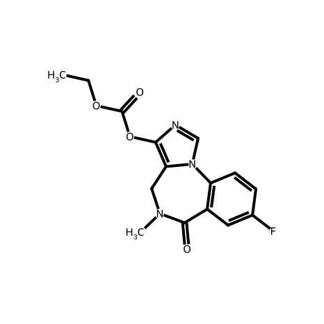 CCOC(=O)Oc1ncn2c1CN(C)C(=O)c1cc(F)ccc1-2